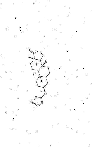 C[C@]12CC[C@H](Oc3cc[nH]n3)CC1CC[C@@H]1[C@@H]2CC[C@]2(C)C(=O)CC[C@@H]12